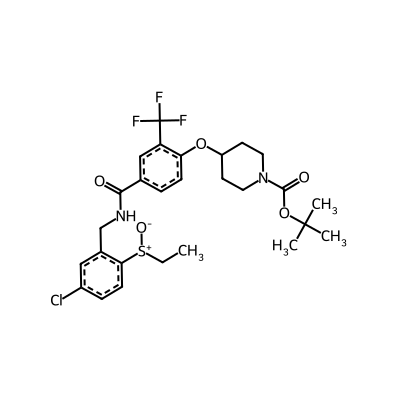 CC[S+]([O-])c1ccc(Cl)cc1CNC(=O)c1ccc(OC2CCN(C(=O)OC(C)(C)C)CC2)c(C(F)(F)F)c1